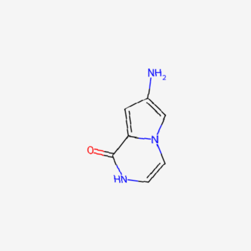 Nc1cc2c(=O)[nH]ccn2c1